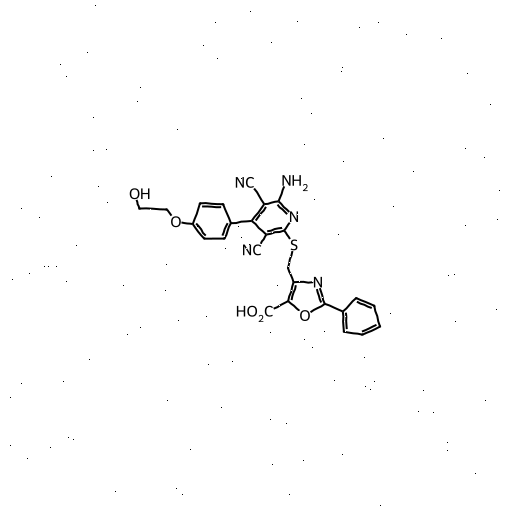 N#Cc1c(N)nc(SCc2nc(-c3ccccc3)oc2C(=O)O)c(C#N)c1-c1ccc(OCCO)cc1